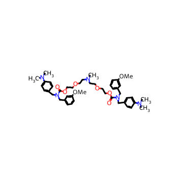 COc1cccc(CN(Cc2ccc(N(C)C)cc2)C(=O)OCCOCCN(C)CCOCCOC(=O)N(Cc2ccc(N(C)C)cc2)Cc2cccc(OC)c2)c1